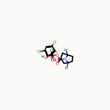 CC(C)(C)OC(=O)N1[C@@H]2CC[C@H]1C[C@@H](Oc1cc(Cl)cc(Cl)c1)C2